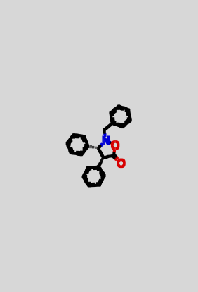 O=C1ON(Cc2ccccc2)[C@@H](c2ccccc2)[C@@H]1c1ccccc1